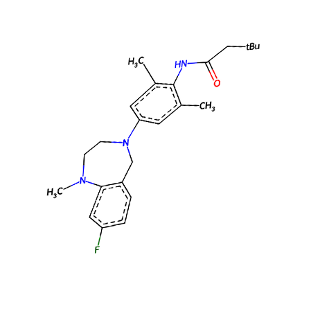 Cc1cc(N2CCN(C)c3cc(F)ccc3C2)cc(C)c1NC(=O)CC(C)(C)C